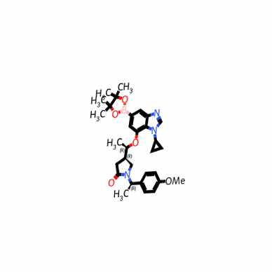 COc1ccc([C@@H](C)N2C[C@H]([C@@H](C)Oc3cc(B4OC(C)(C)C(C)(C)O4)cc4ncn(C5CC5)c34)CC2=O)cc1